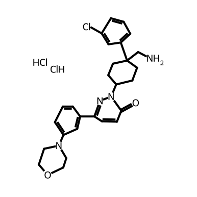 Cl.Cl.NCC1(c2cccc(Cl)c2)CCC(n2nc(-c3cccc(N4CCOCC4)c3)ccc2=O)CC1